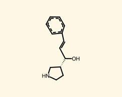 OC(C=Cc1ccccc1)[C@@H]1CCNC1